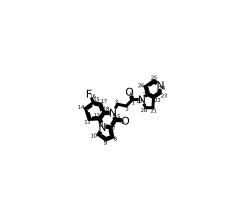 O=C(CCn1c(=O)c2cccn2c2ccc(F)cc21)N1CCc2cnccc21